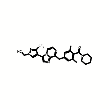 Cc1cc(Cc2nccn3c(-c4cn(CC#N)nc4C(F)(F)F)cnc23)cc(C)c1C(=O)N1CCCCC1